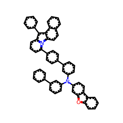 c1ccc(-c2cccc(N(c3cccc(-c4ccc(-c5cccc6c(-c7ccccc7)c7c8ccccc8ccc7n56)cc4)c3)c3ccc4c(c3)oc3ccccc34)c2)cc1